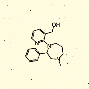 CN1CCCN(c2ncccc2CO)C(c2ccccc2)C1